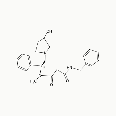 CN(C(=O)CC(=O)NCc1ccccc1)[C@H](CN1CCC(O)C1)c1ccccc1